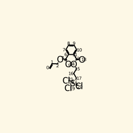 C=CCOC(=O)c1ccccc1C(=O)OCCC[Si](Cl)(Cl)Cl